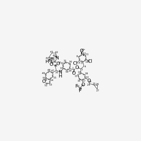 O=C(OC(Cc1c(Cl)c[n+]([O-])cc1Cl)c1ccc(OC(F)F)c(OCC2CC2)c1)c1cccc(NC(C(=O)O[C@H]2CN3CCC2CC3)c2ccc3occc3c2)c1